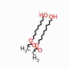 C=CC(=O)OCCCCCCCCCCCO.C=CC(=O)OCCCCCCCCCCO